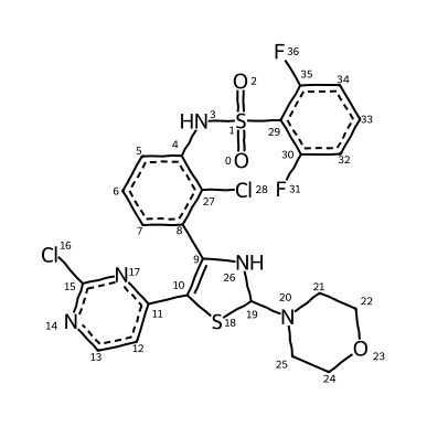 O=S(=O)(Nc1cccc(C2=C(c3ccnc(Cl)n3)SC(N3CCOCC3)N2)c1Cl)c1c(F)cccc1F